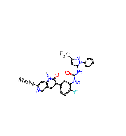 CNc1cc2c(cn1)cc(-c1ccc(F)c(NC(=O)Nc3cc(C(F)(F)F)nn3-c3ccccc3)c1)c(=O)n2C